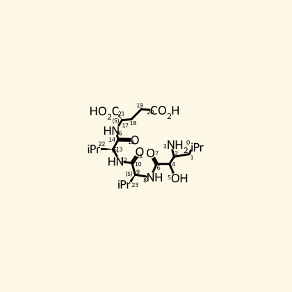 CC(C)CC(N)C(O)C(=O)N[C@H](C(=O)N[C@H](C(=O)N[C@@H](CCC(=O)O)C(=O)O)C(C)C)C(C)C